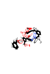 CC(CC(=O)O)c1cccc(C[C@@H](C)NC[C@@H](O)c2ccc(OCc3ccccc3)c(CO)c2)c1